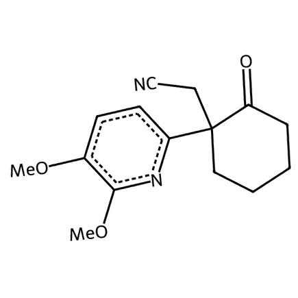 COc1ccc(C2(CC#N)CCCCC2=O)nc1OC